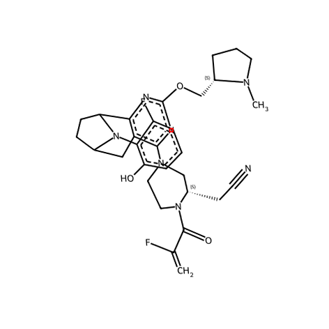 C=C(F)C(=O)N1CCN(c2nc(OC[C@@H]3CCCN3C)nc3c2CC2CCC3N2c2c(O)cccc2F)C[C@@H]1CC#N